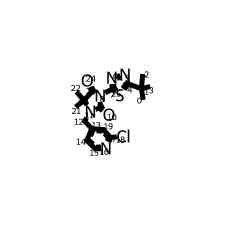 CC(C)(C)c1nnc(N2C(=O)N(Cc3ccnc(Cl)c3)C(C)(C)C2=O)s1